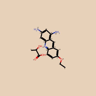 CC(O)C(=O)O.CCOc1ccc2nc3cc(N)cc(N)c3cc2c1